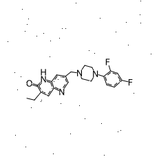 CCc1cc2ncc(CN3CCN(c4ccc(F)cc4F)CC3)cc2[nH]c1=O